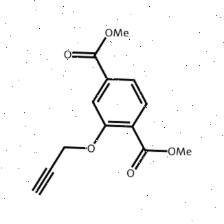 C#CCOc1cc(C(=O)OC)ccc1C(=O)OC